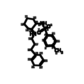 Cc1ccc(S(=O)(=O)NC2CCCCC2NCCCC2=CCC=CC2)cc1